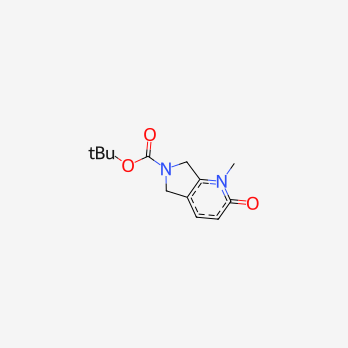 Cn1c2c(ccc1=O)CN(C(=O)OC(C)(C)C)C2